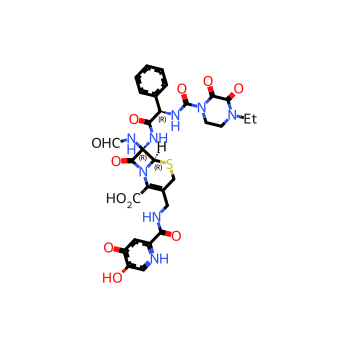 CCN1CCN(C(=O)N[C@@H](C(=O)N[C@]2(NC=O)C(=O)N3C(C(=O)O)=C(CNC(=O)c4cc(=O)c(O)c[nH]4)CS[C@@H]32)c2ccccc2)C(=O)C1=O